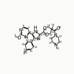 COc1nccc(-c2[nH]c(C3OCC(C)(C(=O)N4CCN(C)CC4)CO3)nc2-c2ccc(F)cc2)n1